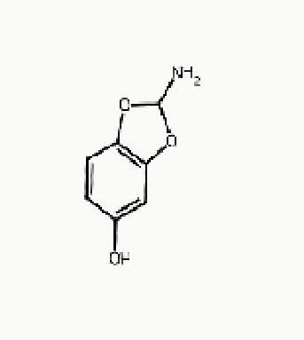 NC1Oc2ccc(O)cc2O1